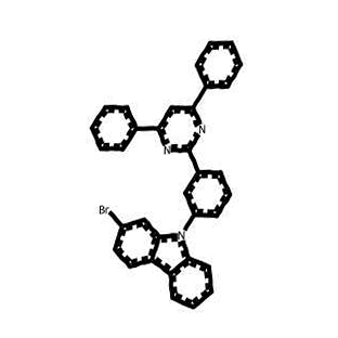 Brc1ccc2c3ccccc3n(-c3cccc(-c4nc(-c5ccccc5)cc(-c5ccccc5)n4)c3)c2c1